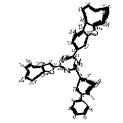 c1ccc(-c2cccc(-c3nc(-c4ccc5c(c4)oc4ccccc45)nc(-c4cc5ccccc5o4)n3)c2)cc1